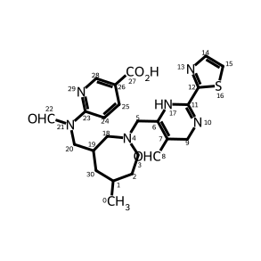 CC1CCN(CC2=C(C=O)CN=C(c3nccs3)N2)CC(CN(C=O)c2ccc(C(=O)O)cn2)C1